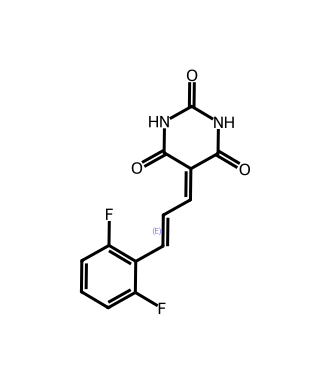 O=C1NC(=O)C(=C/C=C/c2c(F)cccc2F)C(=O)N1